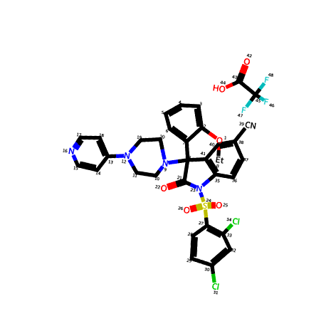 CCOc1ccccc1C1(N2CCN(c3ccncc3)CC2)C(=O)N(S(=O)(=O)c2ccc(Cl)cc2Cl)c2ccc(C#N)cc21.O=C(O)C(F)(F)F